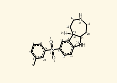 Cc1cccc(S(=O)(=O)c2ccc3c(c2)[C@@H]2CCNCCC2N3)c1